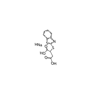 O=C(O)CC(Sc1nc2ccccc2s1)C(=O)O.[NaH]